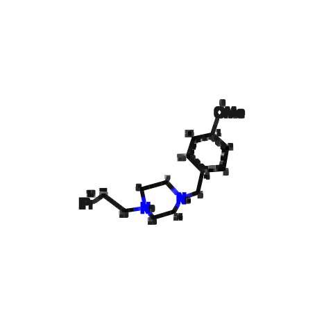 COc1ccc(CN2CCN(CCC(C)C)CC2)cc1